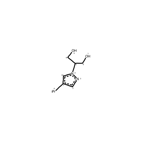 CC(C)c1cnn(C(CO)CO)c1